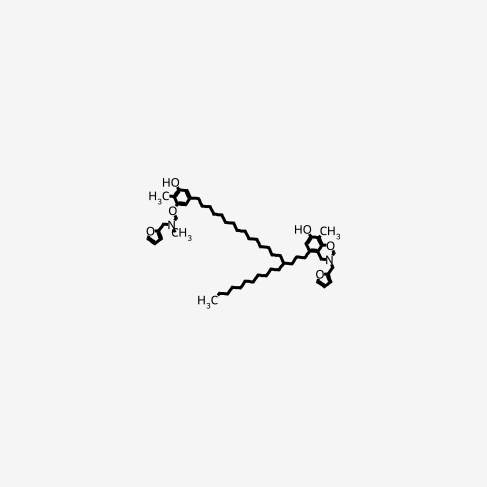 CCCCCCCCCCCC(CCCCCCCCCCCCCCCc1cc(O)c(C)c(OCN(C)Cc2ccco2)c1)CCCc1cc(O)c(C)c2c1CN(Cc1ccco1)CO2